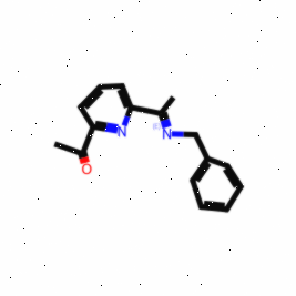 CC(=O)c1cccc(/C(C)=N/Cc2ccccc2)n1